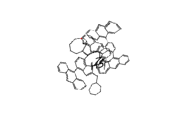 C[SiH](C)[Zr]([CH]1C(CC2CCCCCC2)=Cc2c(-c3c4ccccc4cc4ccccc34)ccc(-c3c4ccccc4cc4ccccc34)c21)[CH]1C(CC2CCCCCC2)=Cc2c(-c3c4ccccc4cc4ccccc34)ccc(-c3c4ccccc4cc4ccccc34)c21